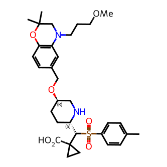 COCCCN1CC(C)(C)Oc2ccc(CO[C@@H]3CC[C@@H](C(C4(C(=O)O)CC4)S(=O)(=O)c4ccc(C)cc4)NC3)cc21